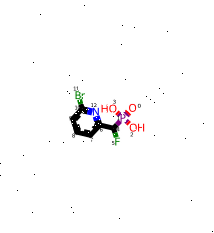 O=P(O)(O)C(F)c1cccc(Br)n1